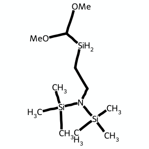 COC(OC)[SiH2]CCN([Si](C)(C)C)[Si](C)(C)C